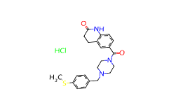 CSc1ccc(CN2CCN(C(=O)c3ccc4c(c3)CCC(=O)N4)CC2)cc1.Cl